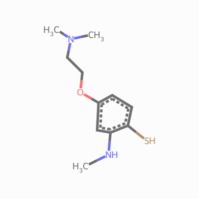 CNc1cc(OCCN(C)C)ccc1S